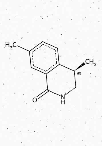 Cc1ccc2c(c1)C(=O)NC[C@@H]2C